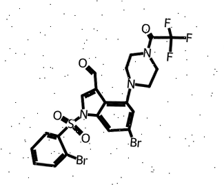 O=Cc1cn(S(=O)(=O)c2ccccc2Br)c2cc(Br)cc(N3CCN(C(=O)C(F)(F)F)CC3)c12